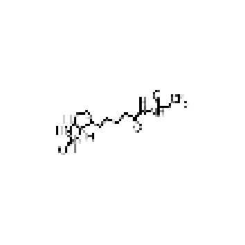 O=C(CCCC[C@@H]1SC[C@@H]2NC(=O)N[C@@H]21)NNC(=O)CC(F)(F)F